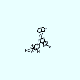 O=C(O)N1[C@@H]2CC(F)[C@H]1CN(c1nc(OC[C@@]34CCCN3C[C@H](F)C4)nc3sc(Br)nc13)C2